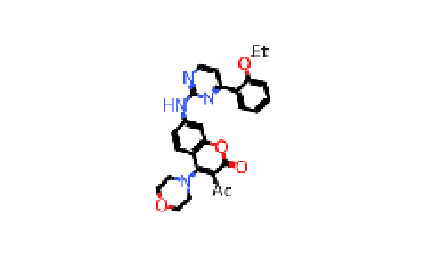 CCOc1ccccc1-c1ccnc(Nc2ccc3c(N4CCOCC4)c(C(C)=O)c(=O)oc3c2)n1